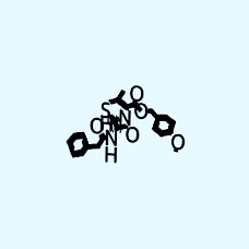 COc1ccc(COC(=O)C2=C(C)CS[C@H]3[C@H](NC(=O)Cc4ccccc4)C(=O)N23)cc1